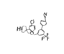 N#Cc1ccc(-c2cc(COCC3(c4cccc(Cl)c4)CCNCC3)cc(C(F)(F)F)c2)cc1